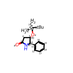 CC(C)(C)[Si](C)(C)O[C@@H]1CC(=O)N[C@@H]1c1ccccc1